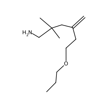 C=C(CCOCCC)CC(C)(C)CN